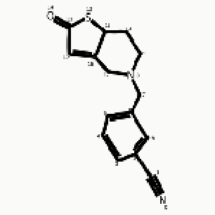 N#Cc1cccc(CN2CCC3SC(=O)C=C3C2)c1